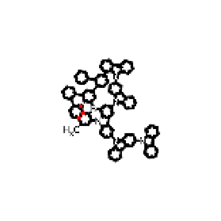 Cc1cc2c3c(c1)-n1c4ccc(-n5c6ccccc6c6cc(-n7c8ccccc8c8ccccc87)ccc65)cc4c4cc(-n5c6ccccc6c6cc(-n7c8ccccc8c8ccccc87)ccc65)cc(c41)B3c1cc(-c3ccccc3-c3ccccc3)cc(-c3ccccc3-c3ccccc3)c1O2